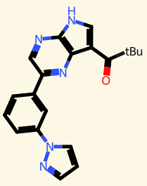 CC(C)(C)C(=O)c1c[nH]c2ncc(-c3cccc(-n4cccn4)c3)nc12